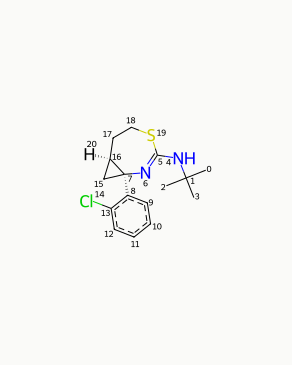 CC(C)(C)NC1=N[C@@]2(c3ccccc3Cl)C[C@H]2CCS1